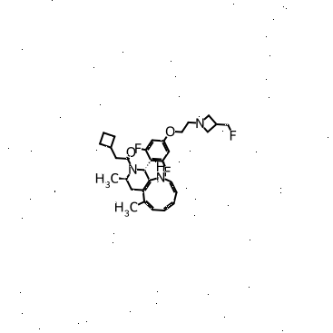 Cc1ccccc[nH]c2c1C[C@@H](C)N(C(=O)CC1CCC1)[C@@H]2c1c(F)cc(OCCN2CC(CF)C2)cc1F